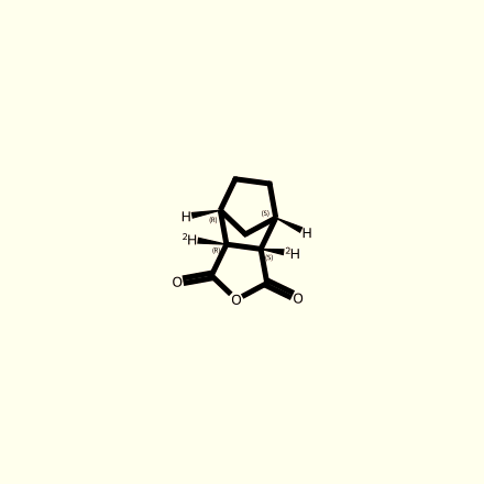 [2H][C@@]12C(=O)OC(=O)[C@]1([2H])[C@@H]1CC[C@H]2C1